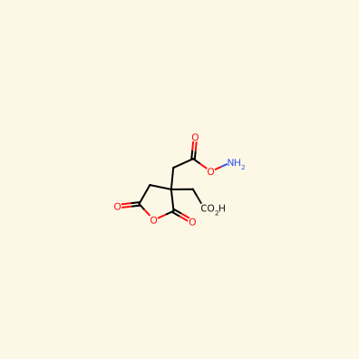 NOC(=O)CC1(CC(=O)O)CC(=O)OC1=O